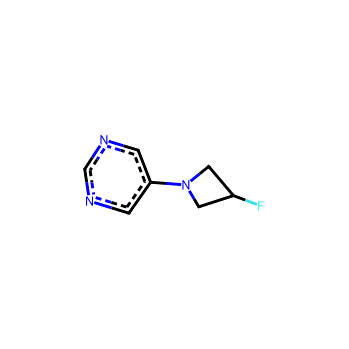 FC1CN(c2cncnc2)C1